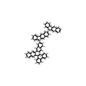 c1ccc2cc3c(cc2c1)c1ccccc1n3-c1ccc2cc3c(cc2c1)c1ccccc1n3-c1ccc2ccc(-c3nc4ccccc4nc3-c3cc4ccccc4c4ccccc34)cc2c1